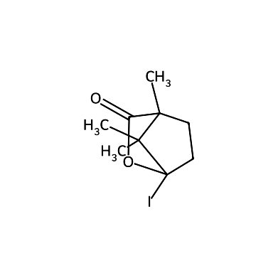 CC12CCC(I)(OC1=O)C2(C)C